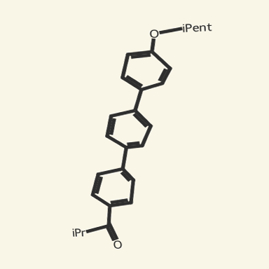 CCCC(C)Oc1ccc(-c2ccc(-c3ccc(C(=O)C(C)C)cc3)cc2)cc1